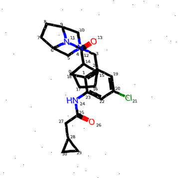 Cc1c(CN2CC3CCC(C2)N3C(=O)C2CCCC2)cc(Cl)cc1NC(=O)CC1CC1